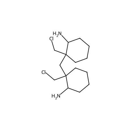 NC1CCCCC1(CCl)CC1(CCl)CCCCC1N